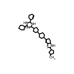 CC1CCC(C2NC3CCC(C4CCC(C5CCC(C6NC(C7C=CCCC7)NC(C7CCCCC7)N6)CC5)CC4)=CC3S2)C1